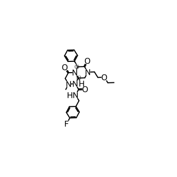 CCOCCN1C[C@H]2N(C(=O)CN(C)N2C(=O)NCc2ccc(F)cc2)[C@@H](c2ccccc2)C1=O